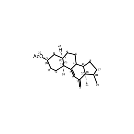 C=C1C=C2C(CC[C@@H]3C[C@H](OC(C)=O)CC[C@]23C)C2CCC(C)[C@@]12C